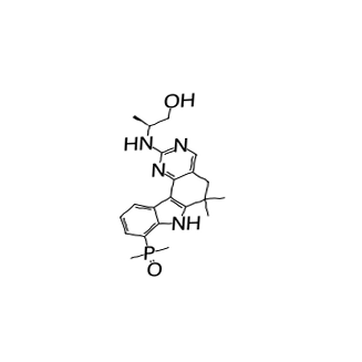 C[C@@H](CO)Nc1ncc2c(n1)-c1c([nH]c3c(P(C)(C)=O)cccc13)C(C)(C)C2